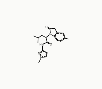 Cc1ccc2c(c1)CC(=O)N2C(CC(C)C)C(=O)Nc1ccn(C)n1